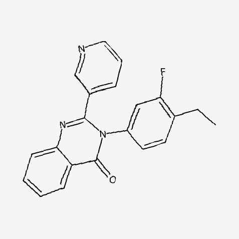 CCc1ccc(-n2c(-c3cccnc3)nc3ccccc3c2=O)cc1F